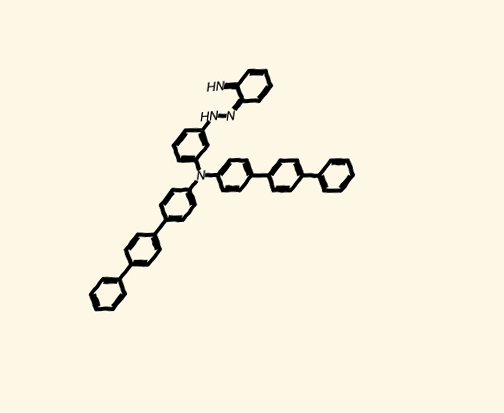 N=C1C=CC=C/C1=N/Nc1cccc(N(c2ccc(-c3ccc(-c4ccccc4)cc3)cc2)c2ccc(-c3ccc(-c4ccccc4)cc3)cc2)c1